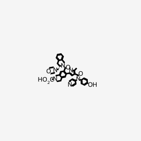 Cc1c(C(=O)N(c2ccncc2)c2ccc(O)cc2)cc(-c2cc3c(cc2C(=O)N2Cc4ccccc4C[C@H]2CN2CCOCC2)CN(C(=O)O)CC3)n1C